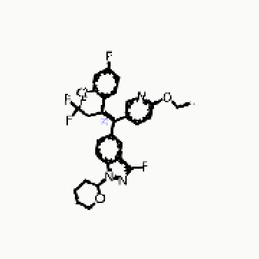 [CH2]COc1ccc(/C(=C(/CC(F)(F)F)c2ccc(F)cc2Cl)c2ccc3c(c2)c(F)nn3C2CCCCO2)cn1